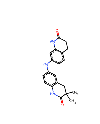 CC1(C)Cc2cc(Nc3ccc4c(c3)NC(=O)CC4)ccc2NC1=O